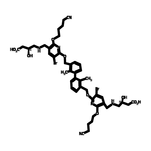 Cc1c(COc2nc(OCCCCC#N)c(CNC[C@@H](O)CC(=O)O)cc2Br)cccc1-c1cccc(COc2nc(OCCCCC#N)c(CNC[C@@H](O)CC(=O)O)cc2Br)c1C